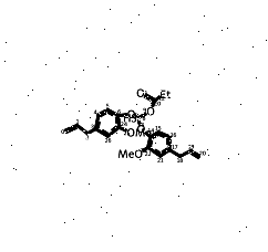 C=CCc1ccc(O[SiH](OC(=O)CC)Oc2ccc(CC=C)cc2OC)c(OC)c1